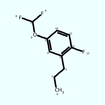 C[CH]Cc1cc(OC(F)F)ccc1F